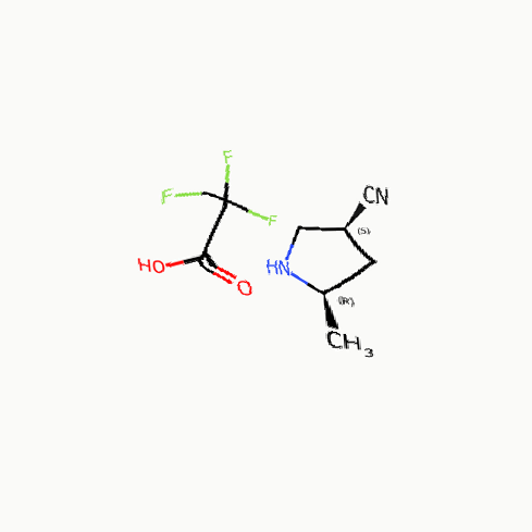 C[C@@H]1C[C@H](C#N)CN1.O=C(O)C(F)(F)F